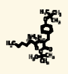 CCCC[C@H](N)C(=O)N[C@@H](Cc1ccc(OC(C)(C)C)cc1)C(=O)OC(C)(C)C